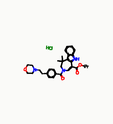 CC(C)OC(=O)C1=CN(C(=O)c2ccc(CCN3CCOCC3)cc2)CC(C)(C)c2c1[nH]c1ccccc21.Cl